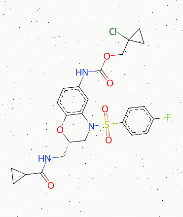 O=C(Nc1ccc2c(c1)N(S(=O)(=O)c1ccc(F)cc1)C[C@H](CNC(=O)C1CC1)O2)OCC1(Cl)CC1